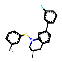 C[C@@H]1Cc2ccc(-c3cccc(F)c3)cc2N(Sc2cccc(C(F)(F)F)c2)C1